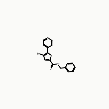 O=C(NCc1ccccc1)c1cc(Br)c(-c2ccncc2)s1